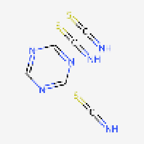 N=C=S.N=C=S.N=C=S.c1ncncn1